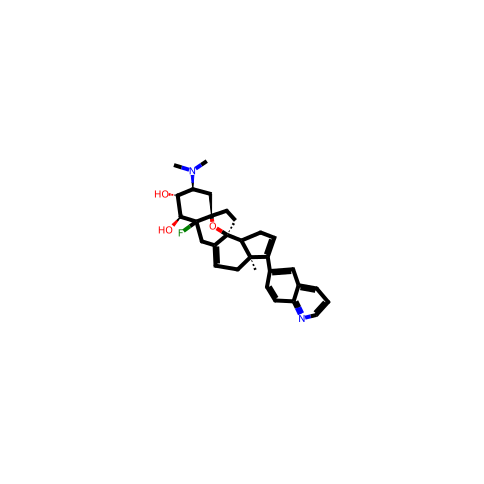 CN(C)[C@H]1C[C@@]23CC[C@@]4(O2)C(=CC[C@]2(C)C(c5ccc6ncccc6c5)=CCC24)CC3(F)[C@@H](O)[C@@H]1O